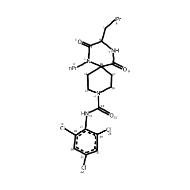 CCCN1C(=O)C(CC(C)C)NC(=O)C12CCN(C(=O)Nc1c(Cl)cc(Cl)cc1Cl)CC2